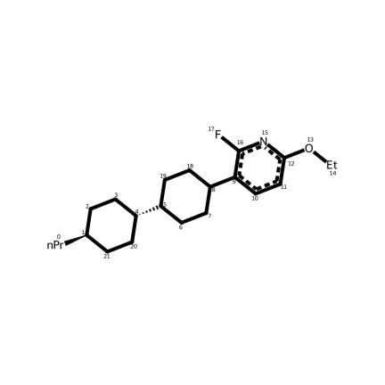 CCC[C@H]1CC[C@H](C2CCC(c3ccc(OCC)nc3F)CC2)CC1